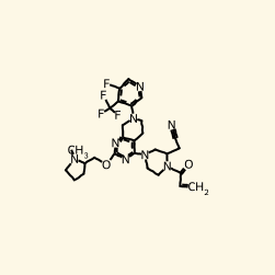 C=CC(=O)N1CCN(c2nc(OCC3CCCN3C)nc3c2CCN(c2cncc(F)c2C(F)(F)F)C3)CC1CC#N